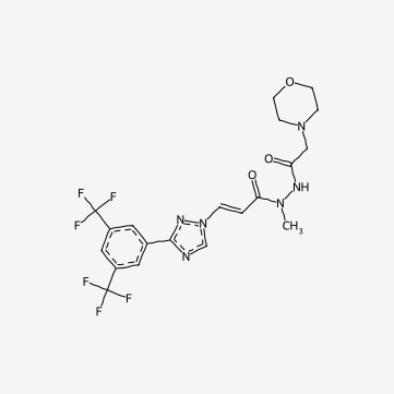 CN(NC(=O)CN1CCOCC1)C(=O)C=Cn1cnc(-c2cc(C(F)(F)F)cc(C(F)(F)F)c2)n1